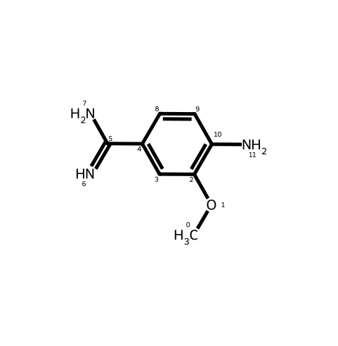 COc1cc(C(=N)N)ccc1N